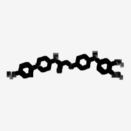 O=C(COC1CCC(Nc2ccc([N+](=O)[O-])c(C(F)(F)F)c2)CC1)NC1CCN(c2ccc(C(F)(F)F)cn2)CC1